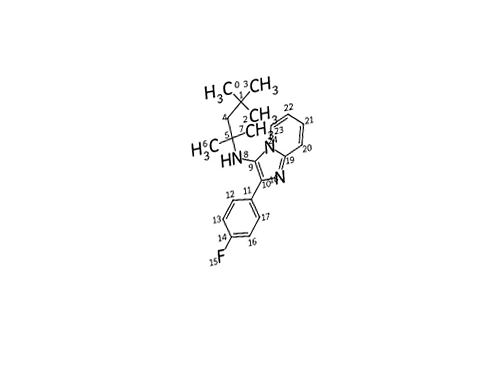 CC(C)(C)CC(C)(C)Nc1c(-c2ccc(F)cc2)nc2ccccn12